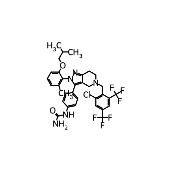 Cc1cccc(OCC(C)C)c1-n1nc2c(c1-c1ccc(NC(N)=O)cc1)CN(Cc1c(Cl)cc(C(F)(F)F)cc1C(F)(F)F)CC2